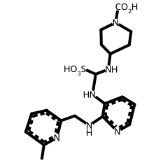 Cc1cccc(CNc2ncccc2NC(NC2CCN(C(=O)O)CC2)S(=O)(=O)O)n1